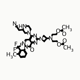 CC(=O)OCCN(CCOC(C)=O)C1CN(c2nc(N3CCNC(CC#N)C3)c3cnn(-c4cccc(C)c4C(F)(F)F)c(=O)c3n2)C1